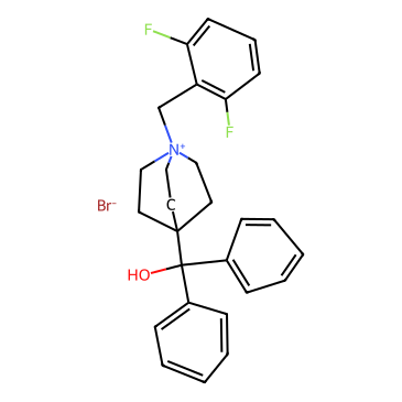 OC(c1ccccc1)(c1ccccc1)C12CC[N+](Cc3c(F)cccc3F)(CC1)CC2.[Br-]